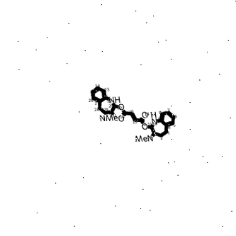 CNC1CCc2ccccc2NC1OC(=O)/C=C/C(=O)OC1Nc2ccccc2CCC1NC